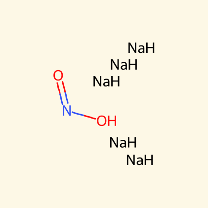 O=NO.[NaH].[NaH].[NaH].[NaH].[NaH]